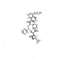 O=C(Nc1cccc(C(CCN2CCOCC2)Nc2ncnc3c(C(=O)O)cccc23)c1)c1cc(C2CC2)n[nH]1